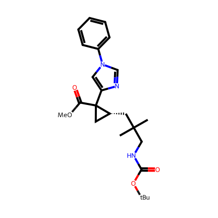 COC(=O)C1(c2cn(-c3ccccc3)cn2)C[C@H]1CC(C)(C)CNC(=O)OC(C)(C)C